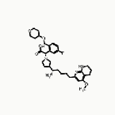 COc1cc(CCCC[C@H](P)C2CCN([C@H](C(=O)O)c3cc(F)ccc3COC3CCOCC3)C2)nc2c1CCCN2